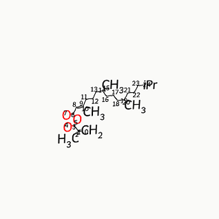 C=C(C)C(=O)OC(=O)/C=C(\C)CCC[C@H](C)CCC[C@H](C)CCCC(C)C